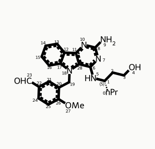 CCC[C@@H](CCO)Nc1nc(N)nc2c3ccccc3n(Cc3cc(C=O)ccc3OC)c12